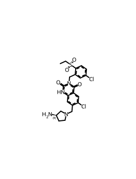 CCS(=O)(=O)c1ccc(Cl)cc1Cn1c(=O)[nH]c2cc(CN3CC[C@@H](N)C3)c(Cl)cc2c1=O